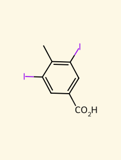 Cc1c(I)cc(C(=O)O)cc1I